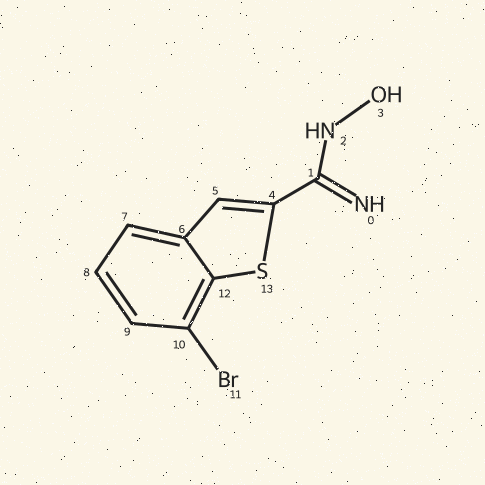 N=C(NO)c1cc2cccc(Br)c2s1